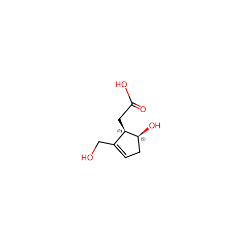 O=C(O)C[C@@H]1C(CO)=CC[C@@H]1O